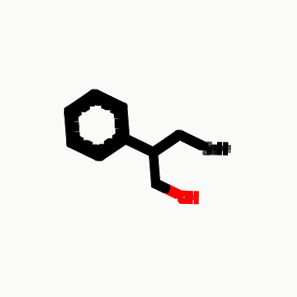 OCC([CH2][SnH])c1ccccc1